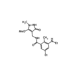 CCNc1cc(CC)cc(C(=O)NCc2c(OC)n(C)[nH]c2=O)c1C